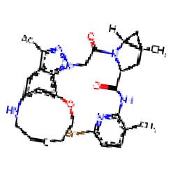 CC(=O)c1nn(CC(=O)N2[C@H](C(=O)Nc3nc(Br)ccc3C)C[C@@]3(C)C[C@@H]23)c2c3cc(cc12)NCCCCCO3